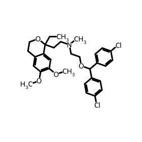 CCC1(CCN(C)CCOC(c2ccc(Cl)cc2)c2ccc(Cl)cc2)OCCc2cc(OC)c(OC)cc21